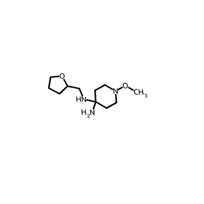 CON1CCC(N)(NCC2CCCO2)CC1